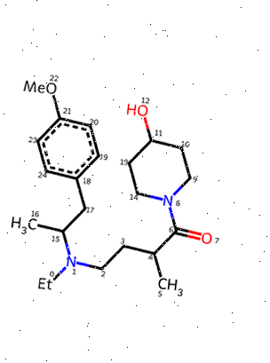 CCN(CCC(C)C(=O)N1CCC(O)CC1)C(C)Cc1ccc(OC)cc1